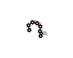 CC1(C)c2ccccc2-c2ccc(-c3ccc4oc5cc6oc7ccc(-c8cccc(-c9ccccc9)c8)cc7c6cc5c4c3)cc21